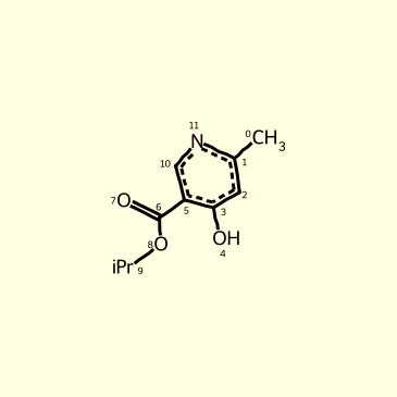 Cc1cc(O)c(C(=O)OC(C)C)cn1